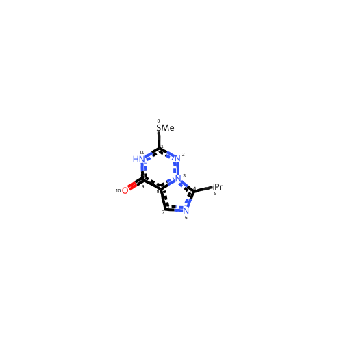 CSc1nn2c(C(C)C)ncc2c(=O)[nH]1